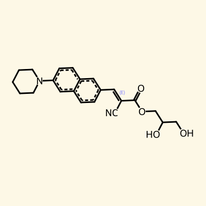 N#C/C(=C\c1ccc2cc(N3CCCCC3)ccc2c1)C(=O)OCC(O)CO